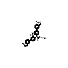 Cn1ncc2cc(-c3ccc4c(c3)S(=O)(=O)c3cc(-c5ccc6c(cnn6C)c5)ccc3N4C(=O)OC(C)(C)C)ccc21